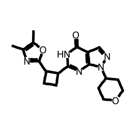 Cc1nc(C2CCC2c2nc3c(cnn3C3CCOCC3)c(=O)[nH]2)oc1C